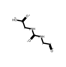 O=CCNC(=O)NCC(=O)O